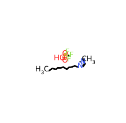 CCCCCCCCCCCCN1C=CN(C)C1.O=S(=O)(O)C(F)(F)F